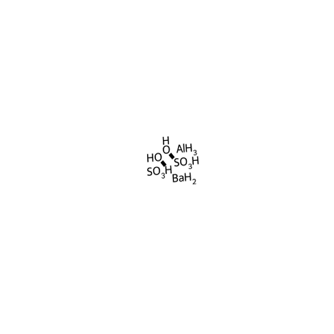 O=S(=O)(O)O.O=S(=O)(O)O.[AlH3].[BaH2]